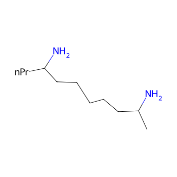 CCCC(N)CCCCCC(C)N